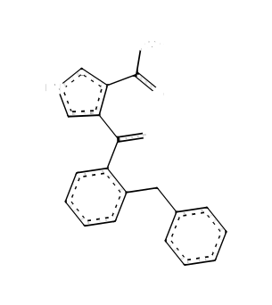 COC(=O)c1c[nH]cc1C(=O)c1ccccc1Cc1ccccc1